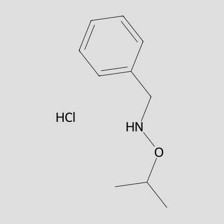 CC(C)ONCc1ccccc1.Cl